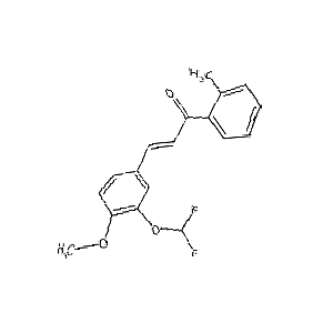 COc1ccc(/C=C/C(=O)c2ccccc2C)cc1OC(F)F